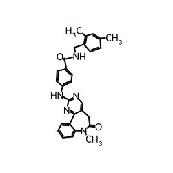 Cc1ccc(CNC(=O)c2ccc(Nc3ncc4c(n3)-c3ccccc3N(C)C(=O)C4)cc2)c(C)c1